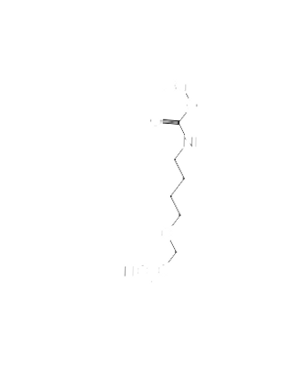 CC(C)(C)OC(=O)NCCCCOCC(=O)O